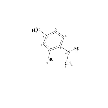 CCC(C)c1cc(C)ccc1N(C)CC